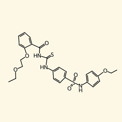 CCOCCOc1ccccc1C(=O)NC(=S)Nc1ccc(S(=O)(=O)Nc2ccc(OCC)cc2)cc1